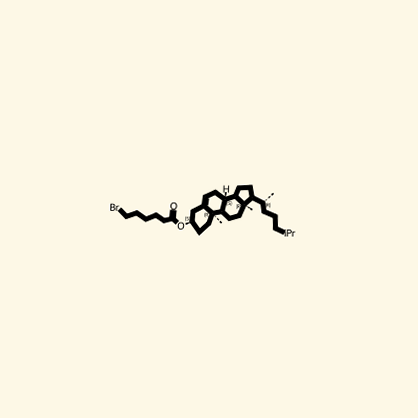 CC(C)CCC[C@@H](C)C1CCC2[C@@H]3CC=C4C[C@@H](OC(=O)CCCCCBr)CC[C@]4(C)C3CC[C@@]21C